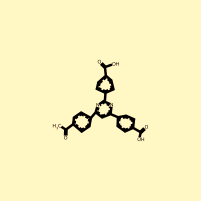 CC(=O)c1ccc(-c2cc(-c3ccc(C(=O)O)cc3)nc(-c3ccc(C(=O)O)cc3)n2)cc1